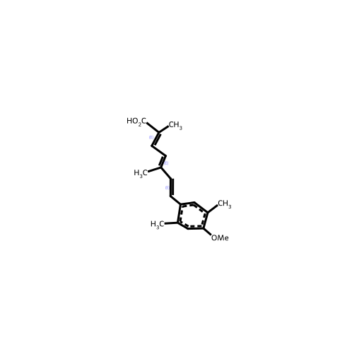 COc1cc(C)c(/C=C/C(C)=C/C=C(\C)C(=O)O)cc1C